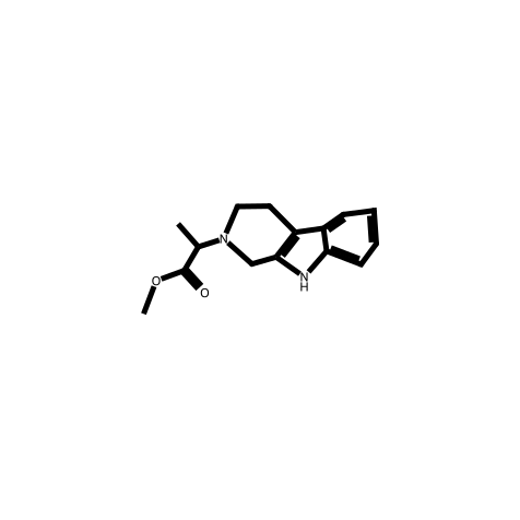 COC(=O)C(C)N1CCc2c([nH]c3ccccc23)C1